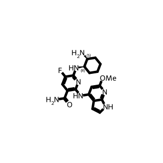 COc1cc(Nc2nc(N[C@@H]3CCCC[C@@H]3N)c(F)cc2C(N)=O)c2cc[nH]c2n1